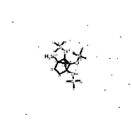 C[Si](C)(C)OC1=C(O[Si](C)(C)C)C2(O[Si](C)(C)C)CCC1([SiH3])C2